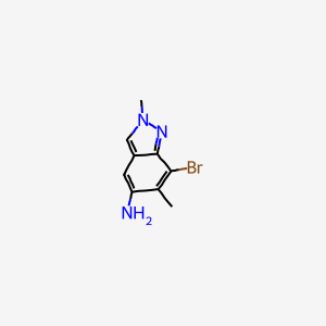 Cc1c(N)cc2cn(C)nc2c1Br